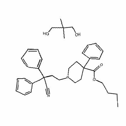 CC(C)(CO)CO.CCCCOC(=O)C1(c2ccccc2)CCN(CCC(C#N)(c2ccccc2)c2ccccc2)CC1